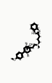 COc1ccc(C2=C[C@H]3CC[C@@H]2C[C@@]3(O)CCN(C)CCCc2nc3ccccc3[nH]2)cc1